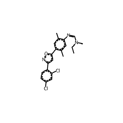 CCN(C)/C=N\c1cc(C)c(-c2cc(-c3ccc(Cl)cc3Cl)no2)cc1C